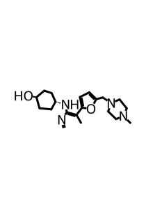 C=N/C(N[C@H]1CC[C@H](O)CC1)=C(\C)c1ccc(CN2CCN(C)CC2)o1